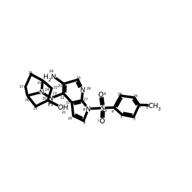 Cc1ccc(S(=O)(=O)n2ccc3c(NN4C5CCC4CC(O)C5)c(N)cnc32)cc1